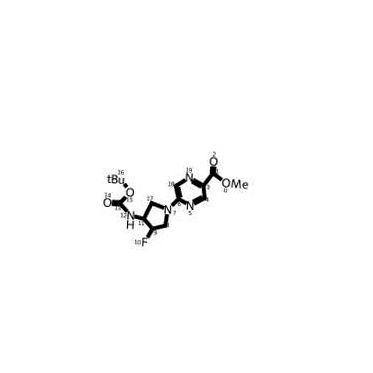 COC(=O)c1cnc(N2CC(F)C(NC(=O)OC(C)(C)C)C2)cn1